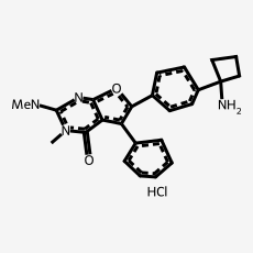 CNc1nc2oc(-c3ccc(C4(N)CCC4)cc3)c(-c3ccccc3)c2c(=O)n1C.Cl